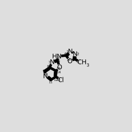 Cc1nnc(Nc2nc3cncc(Cl)c3o2)o1